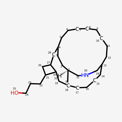 C[C@H]1CCC2CCCCCCCCC(CCCCCCC3C(CCCO)CC3C2)CNC1